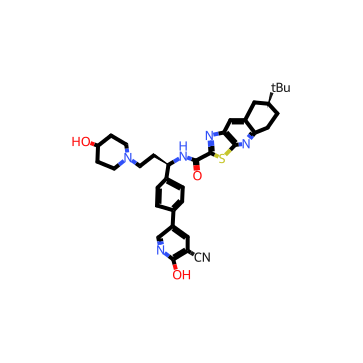 CC(C)(C)[C@H]1CCc2nc3sc(C(=O)N[C@H](CCN4CCC(O)CC4)c4ccc(-c5cnc(O)c(C#N)c5)cc4)nc3cc2C1